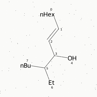 CCCCCCC=CC(O)C(CC)CCCC